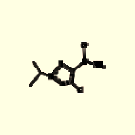 CC(C)n1cc(Cl)c([S+](N)[O-])n1